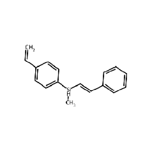 C=Cc1ccc([SiH](C)C=Cc2ccccc2)cc1